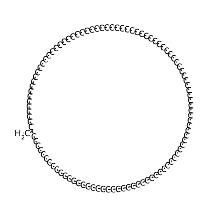 [CH2]C1CCCCCCCCCCCCCCCCCCCCCCCCCCCCCCCCCCCCCCCCCCCCCCCCCCCCCCCCCCCCCCCCCCCCCCCCCCCCCCCCCCCCCCCCCCCCCCCCCCC1